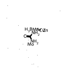 B.NC(N)=O.[Cu].[Fe].[Mn].[Mo].[Zn]